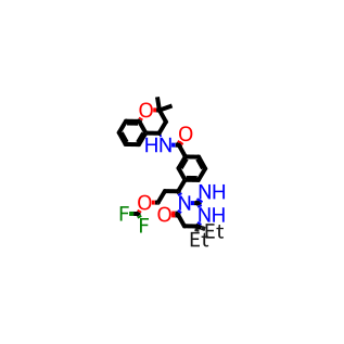 CCC1(CC)CC(=O)N(C(CCOC(F)F)c2cccc(C(=O)N[C@H]3CC(C)(C)Oc4ccccc43)c2)C(=N)N1